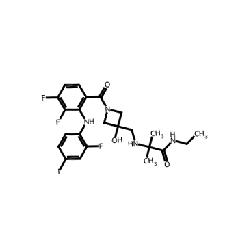 CCNC(=O)C(C)(C)NCC1(O)CN(C(=O)c2ccc(F)c(F)c2Nc2ccc(I)cc2F)C1